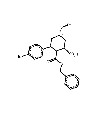 CCO[C@@H]1CC(C(=O)O)C(C(=O)OCc2ccccc2)C(c2ccc(Br)cc2)C1